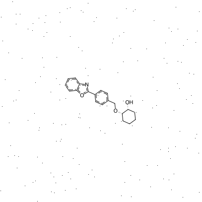 O[C@@H]1[CH]CCC[C@@H]1OCc1ccc(-c2nc3ccccc3o2)cc1